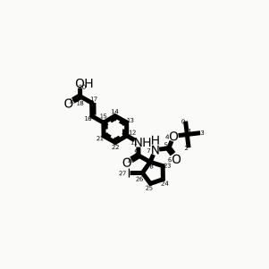 CC(C)(C)OC(=O)NC1(C(=O)Nc2ccc(C=CC(=O)O)cc2)CCCC1I